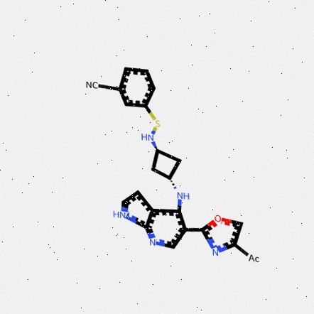 CC(=O)c1coc(-c2cnc3[nH]ccc3c2N[C@H]2C[C@H](NSc3cccc(C#N)c3)C2)n1